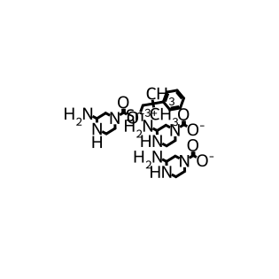 CC(C)([CH2][Sn+3])c1ccccc1.NC1CN(C(=O)[O-])CCN1.NC1CN(C(=O)[O-])CCN1.NC1CN(C(=O)[O-])CCN1